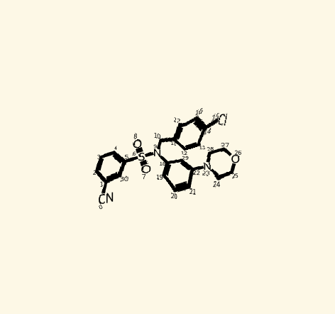 N#Cc1cccc(S(=O)(=O)N(Cc2ccc(Cl)cc2)c2cccc(N3CCOCC3)c2)c1